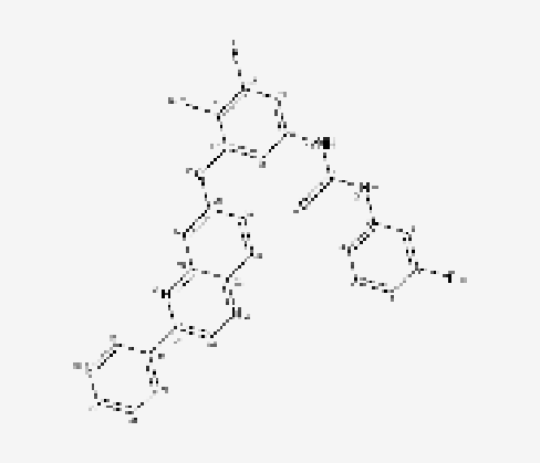 O=C(Nc1cccc(F)c1)Nc1cc(F)c(F)c(Oc2ccc3ncc(-c4cccnc4)nc3c2)c1